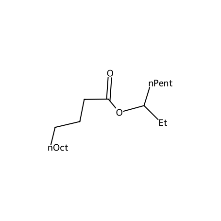 CCCCCCCCCCCC(=O)OC(CC)CCCCC